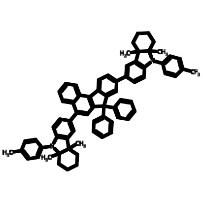 Cc1ccc(N2c3ccc(-c4cc5c(c6ccccc46)-c4ccc(-c6ccc7c(c6)C6(C)CCCCC6(C)N7c6ccc(C(F)(F)F)cc6)cc4C5(c4ccccc4)c4ccccc4)cc3C3(C)CCCCC23C)cc1